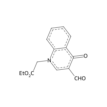 CCOC(=O)Cn1cc(C=O)c(=O)c2ccccc21